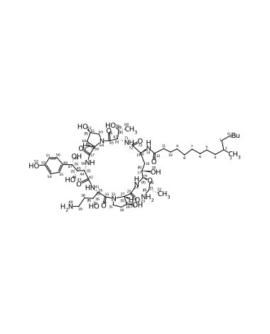 CCC(C)CC(C)CCCCCCCCC(=O)N[C@H]1C[C@@H](O)[C@@H](O[C@H](C)N)NC(=O)[C@@H]2[C@@H](O)CCN2C(=O)[C@H]([C@H](O)CCN)NC(=O)[C@H]([C@H](O)[C@@H](O)c2ccc(O)cc2)NC(=O)[C@@H]2C[C@@H](O)CN2C(=O)[C@H]([C@@H](C)O)NC1=O